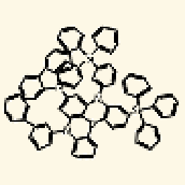 c1ccc(-c2cccc(N3c4ccccc4B4c5ccc([Si](c6ccccc6)(c6ccccc6)c6ccccc6)cc5N(c5cccc([Si](c6ccccc6)(c6ccccc6)c6ccccc6)c5)c5cc(-n6c7ccccc7c7ccccc76)cc3c54)c2)cc1